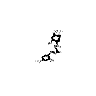 N#CC(N=Nc1ccc(C(=O)O)cc1O)=NNc1ccc(C(=O)O)cc1O